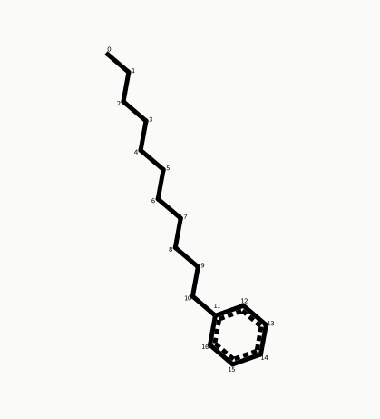 CCCCCCC[CH]CCCc1ccccc1